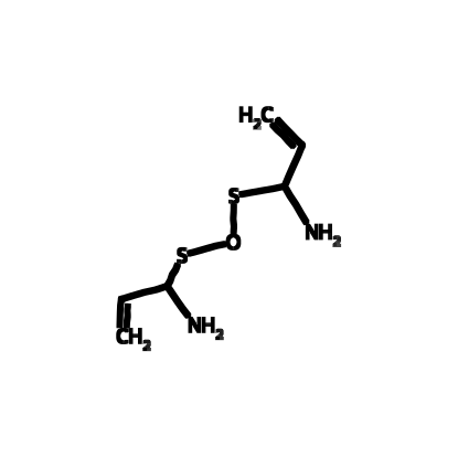 C=CC(N)SOSC(N)C=C